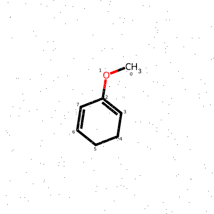 COC1=C[C]CC=C1